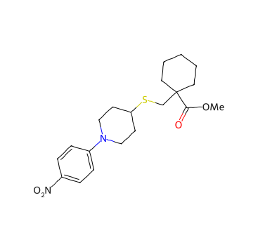 COC(=O)C1(CSC2CCN(c3ccc([N+](=O)[O-])cc3)CC2)CCCCC1